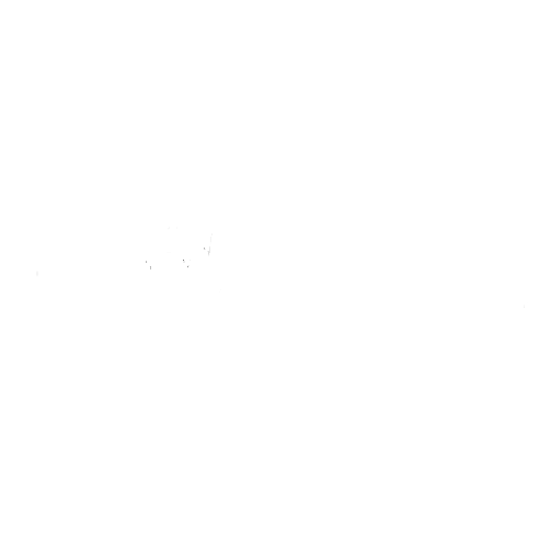 CCCCCCCCCCCCCCCCC(C)SC(C)NNC(=O)NCCOc1ccc(O)cc1